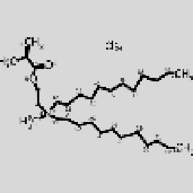 C=C(C)C(=O)OCC[N+](C)(CCCCCCCCCCCC)CCCCCCCCCCCC.[Cl-]